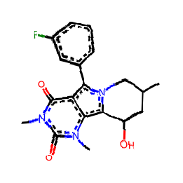 CC1CC(O)c2c3c(c(-c4cccc(F)c4)n2C1)c(=O)n(C)c(=O)n3C